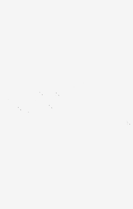 C=C1CC(Nc2nccc(-c3ccc(CCCCCC#N)s3)n2)CC(C)(C)N1